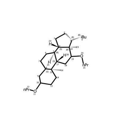 [CH2]C[C@@H](C)[C@H]1CC[C@H]2[C@@H]3CCC4CC(OCCC)CC[C@]4(C)[C@H]3CC(OCCC)[C@]12C